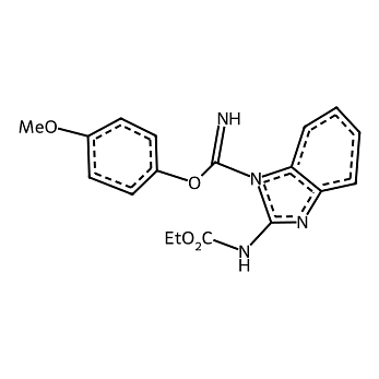 CCOC(=O)Nc1nc2ccccc2n1C(=N)Oc1ccc(OC)cc1